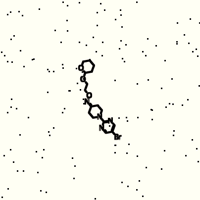 Brc1cnc(N2CCC(=NOCCOC3CCCCO3)CC2)nc1